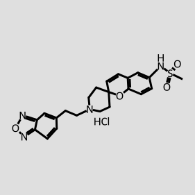 CS(=O)(=O)Nc1ccc2c(c1)C=CC1(CCN(CCc3ccc4nonc4c3)CC1)O2.Cl